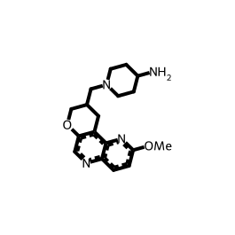 COc1ccc2ncc3c(c2n1)CC(CN1CCC(N)CC1)CO3